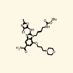 CCc1nc(C)oc1Nc1nc2cc(C(N)=O)cc(OCCCN3CCOCC3)c2n1C/C=C/CNC(=O)OC(C)(C)C